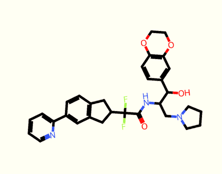 O=C(NC(CN1CCCC1)C(O)c1ccc2c(c1)OCCO2)C(F)(F)C1Cc2ccc(-c3ccccn3)cc2C1